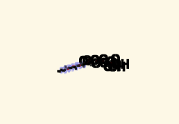 C=C/C=C/C(C)=C/C=C/C=C(C)/C=C/C=C(\C)C(=O)CC12OC1(C)CC(OC(=O)CCC(=O)OC[C@H](O)[C@H]1OC(=O)C(O)=C1O)CC2(C)C